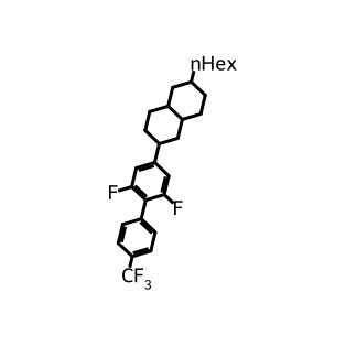 CCCCCCC1CCC2CC(c3cc(F)c(-c4ccc(C(F)(F)F)cc4)c(F)c3)CCC2C1